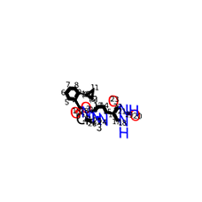 COC(=O)c1ccccc1[C@H]1C[C@@H]1c1cc(-c2c[nH]c(=O)[nH]c2=O)nn2ccnc12